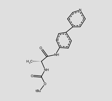 C[C@@H](NC(=O)OC(C)(C)C)C(=O)Nc1ccc(-c2ccncc2)cc1